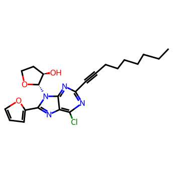 CCCCCCCC#Cc1nc(Cl)c2nc(-c3ccco3)n([C@@H]3OCC[C@H]3O)c2n1